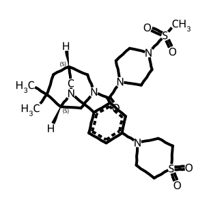 CC1(C)C[C@@H]2CN(C(=O)N3CCN(S(C)(=O)=O)CC3)C[C@H]1N(c1ccc(N3CCS(=O)(=O)CC3)cc1)C2